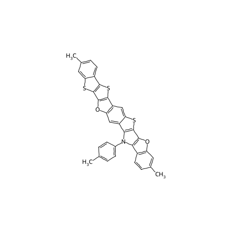 Cc1ccc(-n2c3c4ccc(C)cc4oc3c3sc4cc5c(cc4c32)oc2c5sc3c4ccc(C)cc4sc23)cc1